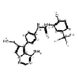 Nc1ncnn2cc(CO)c(C3C=CC(NC(=O)Nc4cc(C(F)(F)F)ccc4Cl)=CC3)c12